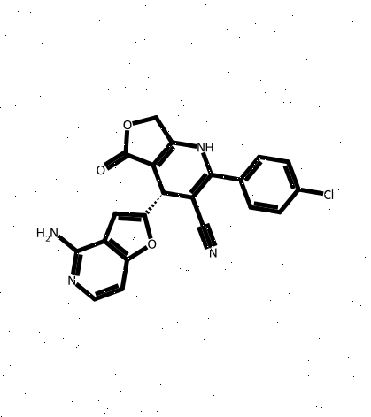 N#CC1=C(c2ccc(Cl)cc2)NC2=C(C(=O)OC2)[C@H]1c1cc2c(N)nccc2o1